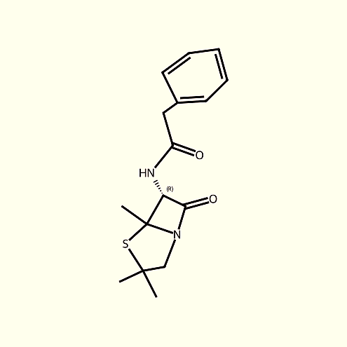 CC1(C)CN2C(=O)[C@@H](NC(=O)Cc3ccccc3)C2(C)S1